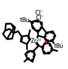 CC1=[C]([Zr+2](=[C](c2ccc(C)cc2)c2ccc(C)cc2)[CH]2c3cc(C(C)(C)C)ccc3-c3ccc(C(C)(C)C)cc32)C(C)C=C1CC12CC3CC(CC(C3)C1)C2.[Cl-].[Cl-]